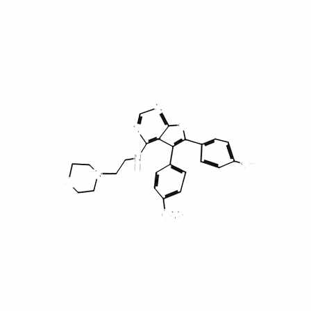 COc1ccc(-c2c(-c3ccc(C)cc3)oc3ncnc(NCCN4CCOCC4)c23)cc1